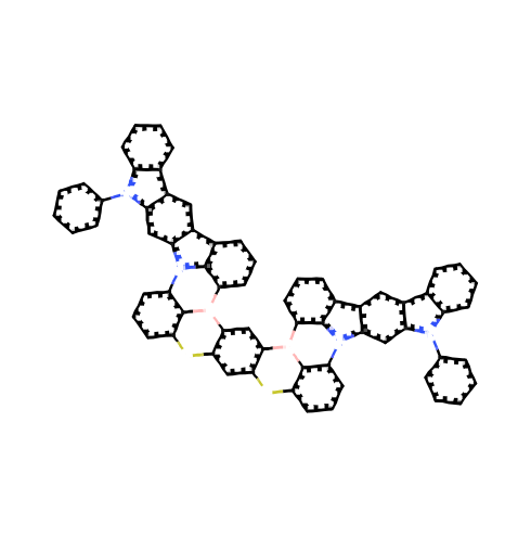 c1ccc(-n2c3ccccc3c3cc4c5cccc6c5n(c4cc32)-c2cccc3c2B6c2cc4c(cc2S3)Sc2cccc3c2B4c2cccc4c5cc6c7ccccc7n(-c7ccccc7)c6cc5n-3c24)cc1